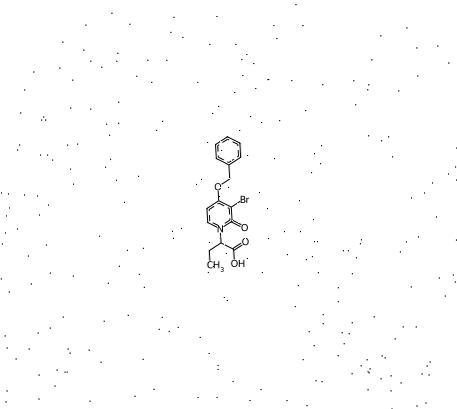 CCC(C(=O)O)n1ccc(OCc2ccccc2)c(Br)c1=O